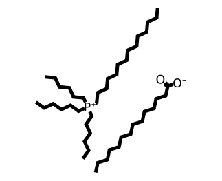 CCCCCCCCCCCCCC(=O)[O-].CCCCCCCCCCCCCC[P+](CCCCCC)(CCCCCC)CCCCCC